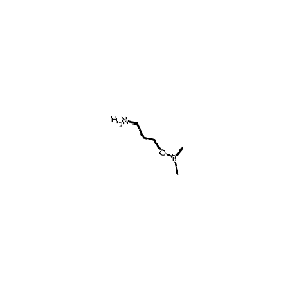 CB(C)OCCCN